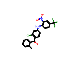 Cc1ccccc1C(=O)c1ccc(Nc2ccc(C(F)(F)F)cc2[N+](=O)[O-])cc1Cl